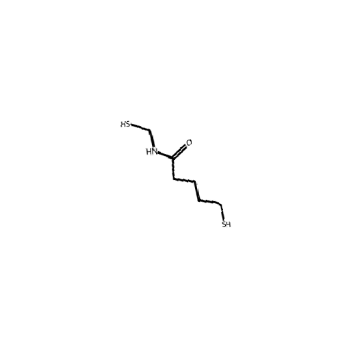 O=C(CCCCS)NCS